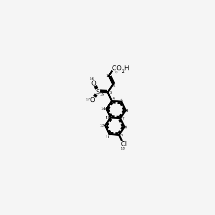 O=C(O)C=CC(c1ccc2cc(Cl)ccc2c1)=S(=O)=O